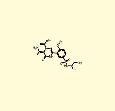 C=C(CCC)N1N=C(c2cc(S(=O)(=O)NC(CC)CO)ccc2OCC)NC(=O)/C1=C(\C)N